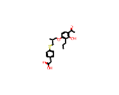 CCCc1c(OCC(C)CSc2ccc(CC(=O)O)cc2)ccc(C(C)=O)c1O